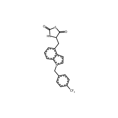 O=C1NC(Cc2cccc3c2ccn3Cc2ccc(C(F)(F)F)cc2)C(=O)S1